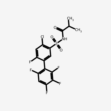 CC(C)C(=O)NS(=O)(=O)c1cc(-c2c(F)cc(F)c(F)c2F)c(F)cc1Cl